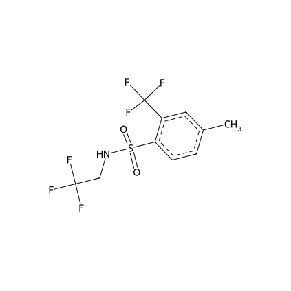 Cc1ccc(S(=O)(=O)NCC(F)(F)F)c(C(F)(F)F)c1